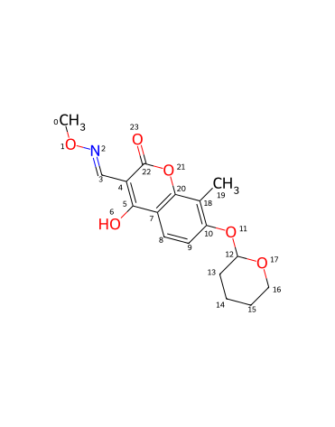 CON=Cc1c(O)c2ccc(OC3CCCCO3)c(C)c2oc1=O